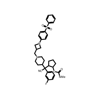 CNC(=O)OC1CCCC1C(C#N)(c1cccc(F)c1)C1CCN(CC2CN(c3ccc(S(=O)(=O)c4ccccc4)cc3)C2)CC1